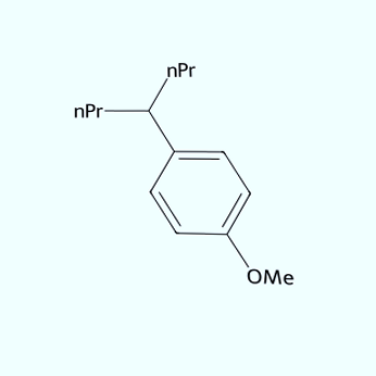 [CH2]Oc1ccc(C(CCC)CCC)cc1